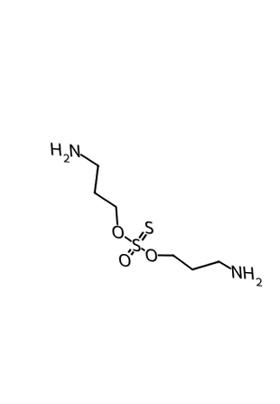 NCCCOS(=O)(=S)OCCCN